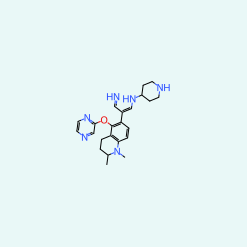 CC1CCc2c(ccc(/C(C=N)=C/NC3CCNCC3)c2Oc2cnccn2)N1C